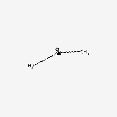 CCCCCCCCCCCCCCCCCC[n+]1ccn(CCCCCCCCCCCCCCCC)c1-c1ccccc1